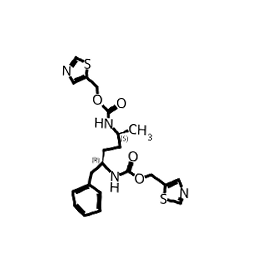 C[C@@H](CC[C@H](Cc1ccccc1)NC(=O)OCc1cncs1)NC(=O)OCc1cncs1